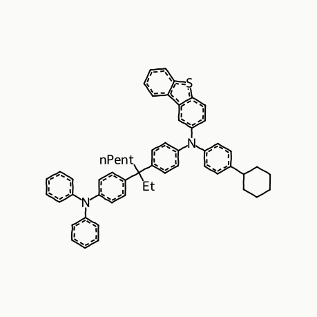 CCCCCC(CC)(c1ccc(N(c2ccccc2)c2ccccc2)cc1)c1ccc(N(c2ccc(C3CCCCC3)cc2)c2ccc3sc4ccccc4c3c2)cc1